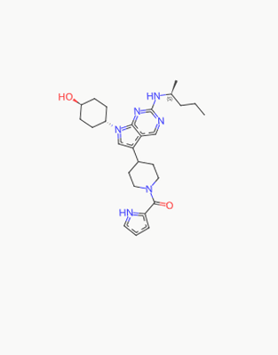 CCC[C@H](C)Nc1ncc2c(C3CCN(C(=O)c4ccc[nH]4)CC3)cn([C@H]3CC[C@H](O)CC3)c2n1